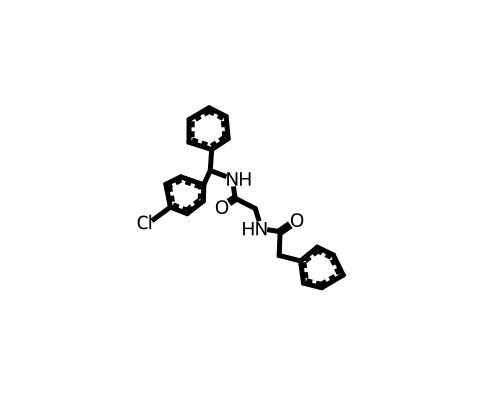 O=C(Cc1ccccc1)NCC(=O)NC(c1ccccc1)c1ccc(Cl)cc1